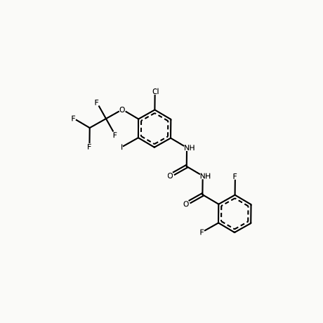 O=C(NC(=O)c1c(F)cccc1F)Nc1cc(Cl)c(OC(F)(F)C(F)F)c(I)c1